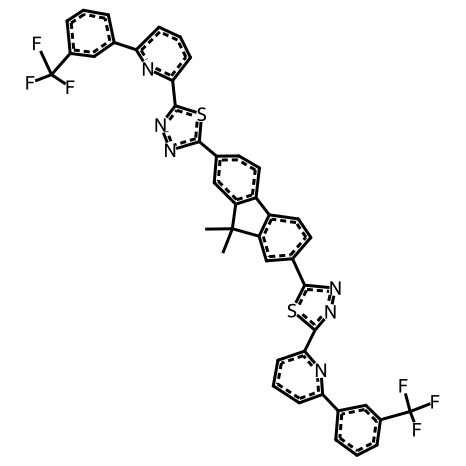 CC1(C)c2cc(-c3nnc(-c4cccc(-c5cccc(C(F)(F)F)c5)n4)s3)ccc2-c2ccc(-c3nnc(-c4cccc(-c5cccc(C(F)(F)F)c5)n4)s3)cc21